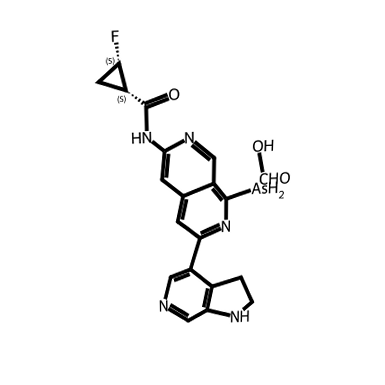 O=C(Nc1cc2cc(-c3cncc4c3CCN4)nc([AsH2])c2cn1)[C@@H]1C[C@@H]1F.O=CO